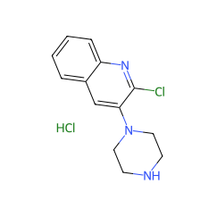 Cl.Clc1nc2ccccc2cc1N1CCNCC1